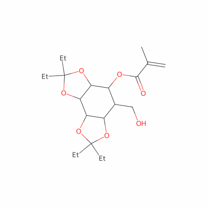 C=C(C)C(=O)OC1C(CO)C2OC(CC)(CC)OC2C2OC(CC)(CC)OC12